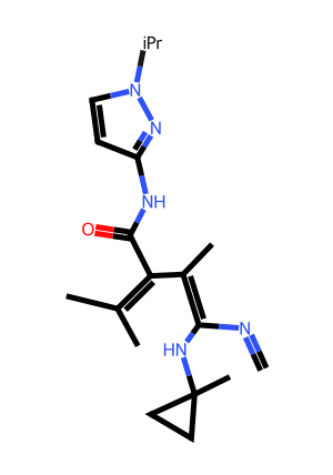 C=N/C(NC1(C)CC1)=C(\C)C(C(=O)Nc1ccn(C(C)C)n1)=C(C)C